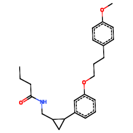 CCCC(=O)NCC1CC1c1cccc(OCCCc2ccc(OC)cc2)c1